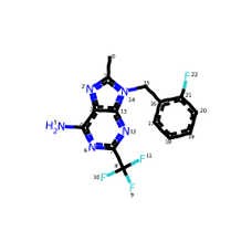 Cc1nc2c(N)nc(C(F)(F)F)nc2n1Cc1ccccc1F